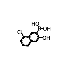 OB(O)c1cc2c(Cl)cccc2cc1O